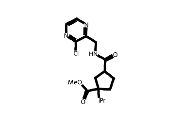 COC(=O)C1(C(C)C)CCC(C(=O)NCc2nccnc2Cl)C1